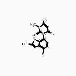 Cn1c(C(F)(F)F)cc(=O)n(-c2ccc(Cl)c3cc(C=O)oc23)c1=O